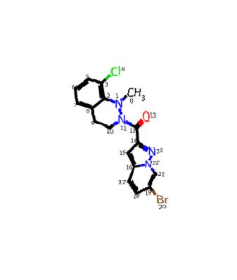 CN1c2c(Cl)cccc2CCN1C(=O)c1cc2ccc(Br)cn2n1